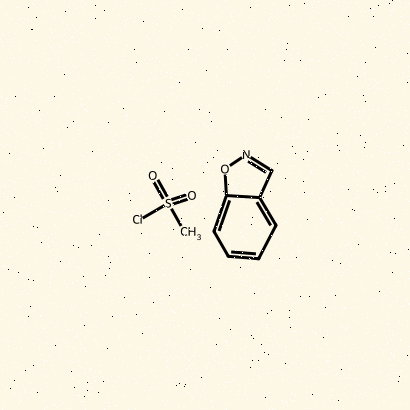 CS(=O)(=O)Cl.c1ccc2oncc2c1